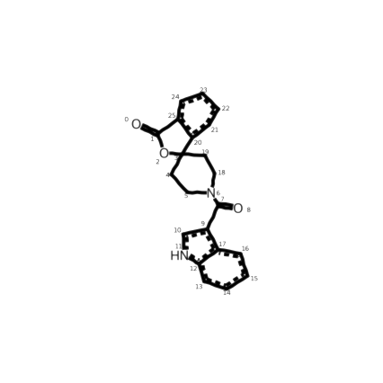 O=C1OC2(CCN(C(=O)c3c[nH]c4ccccc34)CC2)c2ccccc21